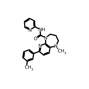 Cc1cccc(-c2ccc3c(n2)N(C(=O)Nc2ccccn2)CCCN3C)c1